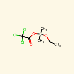 CCO[Si](C)(C)OC(=O)C(Cl)(Cl)Cl